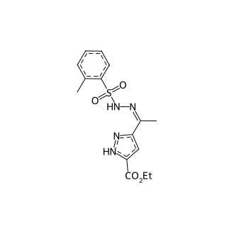 CCOC(=O)c1cc(C(C)=NNS(=O)(=O)c2ccccc2C)n[nH]1